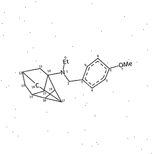 CCN(Cc1ccc(OC)cc1)C12CC3CC(C1)C1C(C3)C12